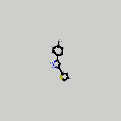 CCCCc1ccc(C2C=C(c3cccs3)NN2)cc1